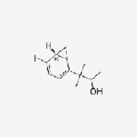 CC(O)C(C)(C)C1=CC=C(I)[C@@H]2CC12